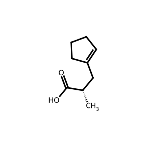 C[C@@H](CC1=CCCC1)C(=O)O